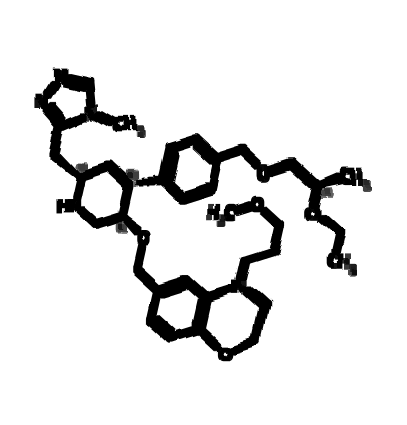 CCO[C@H](C)COCc1ccc([C@H]2C[C@H](Cc3nncn3C)NC[C@@H]2OCc2ccc3c(c2)N(CCCOC)CCO3)cc1